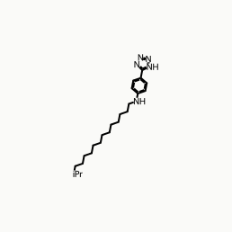 CC(C)CCCCCCCCCCCCCNc1ccc(-c2nnn[nH]2)cc1